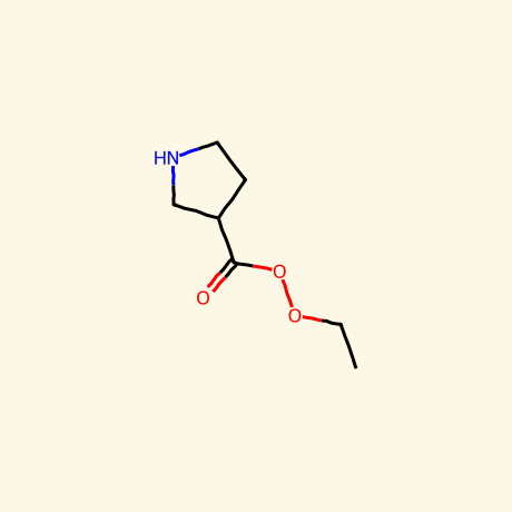 CCOOC(=O)C1CCNC1